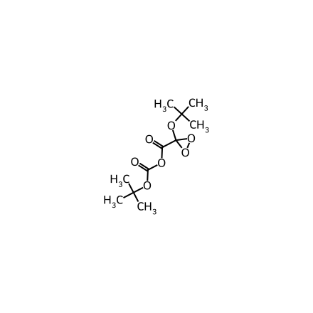 CC(C)(C)OC(=O)OC(=O)C1(OC(C)(C)C)OO1